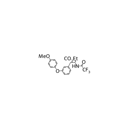 CCOC(=O)[C@H](Cc1cccc(Oc2ccc(OC)cc2)c1)NC(=O)C(F)(F)F